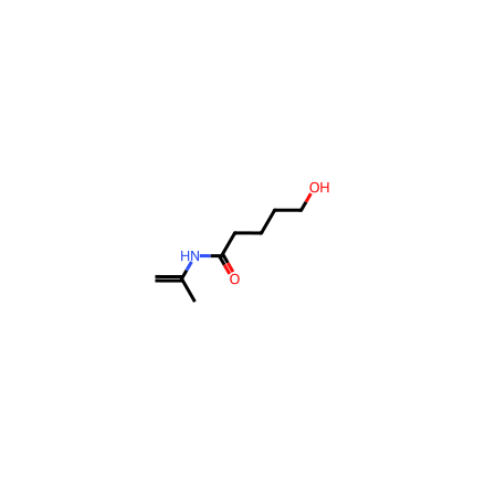 C=C(C)NC(=O)CCCCO